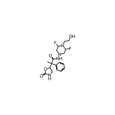 CC(C(=O)NN1CC(F)N(CCO)C(F)C1)(c1ccccc1)C1CNC(=O)O1